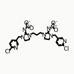 O=[N+]([O-])N=C1N(CCCN2CCN(Cc3ccc(Cl)nc3)C2=N[N+](=O)[O-])CCN1Cc1ccc(Cl)nc1